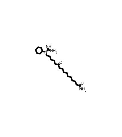 N=C(N)N(CCCCCC(=O)CCCCCCCCCC(N)=O)C1CCCCC1